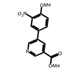 COC(=O)c1cncc(-c2ccc(OC)c([N+](=O)[O-])c2)c1